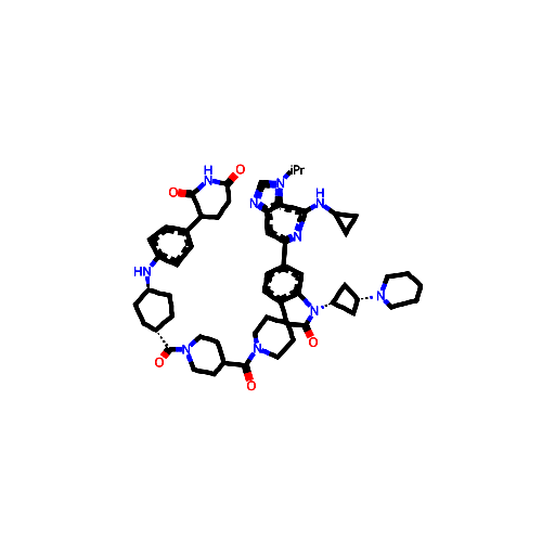 CC(C)n1cnc2cc(-c3ccc4c(c3)N([C@H]3C[C@@H](N5CCCCC5)C3)C(=O)C43CCN(C(=O)C4CCN(C(=O)[C@H]5CC[C@H](Nc6ccc(C7CCC(=O)NC7=O)cc6)CC5)CC4)CC3)nc(NC3CC3)c21